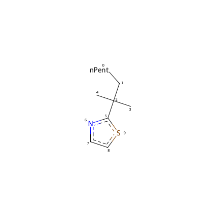 CCCCCCC(C)(C)c1nccs1